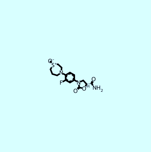 NC(=O)[C@H]1CN(c2ccc(N3CCC[S+]([O-])CC3)c(F)c2)C(=O)O1